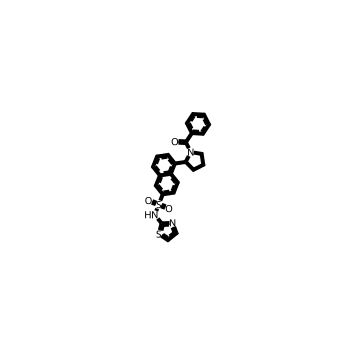 O=C(c1ccccc1)N1CCCC1c1cccc2cc(S(=O)(=O)Nc3nccs3)ccc12